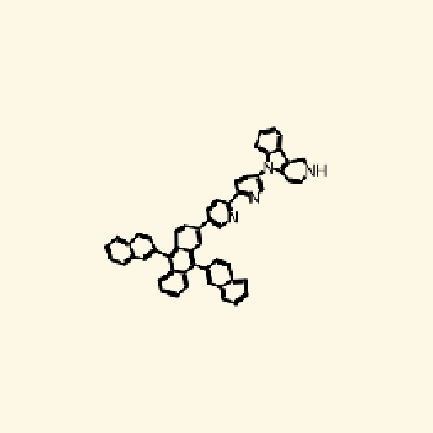 C1=Cc2c(c3ccccc3n2-c2ccc(-c3ccc(-c4ccc5c(-c6ccc7ccccc7c6)c6ccccc6c(-c6ccc7ccccc7c6)c5c4)cn3)nc2)CN1